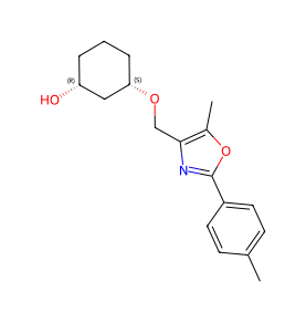 Cc1ccc(-c2nc(CO[C@H]3CCC[C@@H](O)C3)c(C)o2)cc1